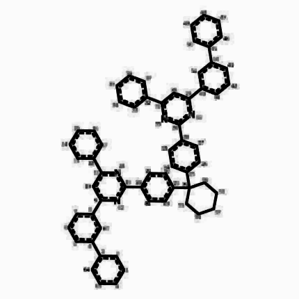 c1ccc(-c2cccc(-c3cc(-c4ccccc4)nc(-c4ccc(C5(c6ccc(-c7nc(-c8ccccc8)cc(-c8cccc(-c9ccccc9)c8)n7)cc6)CCCCC5)cc4)n3)c2)cc1